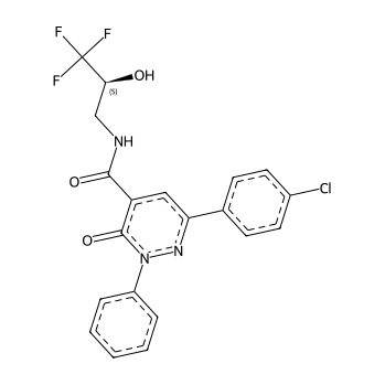 O=C(NC[C@H](O)C(F)(F)F)c1cc(-c2ccc(Cl)cc2)nn(-c2ccccc2)c1=O